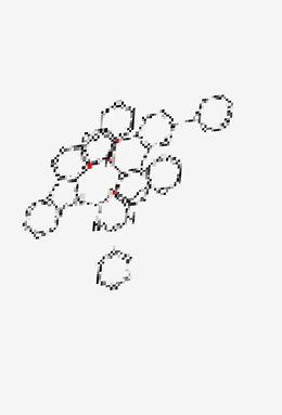 c1ccc(-c2ccc(-c3ccccc3)c(-c3ccccc3-n3c4ccccc4c4ccc5c6ccccc6n(-c6nc(-c7ccccc7)nc(-c7ccccc7)n6)c5c43)c2)cc1